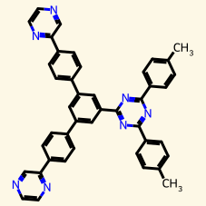 Cc1ccc(-c2nc(-c3ccc(C)cc3)nc(-c3cc(-c4ccc(-c5cnccn5)cc4)cc(-c4ccc(-c5cnccn5)cc4)c3)n2)cc1